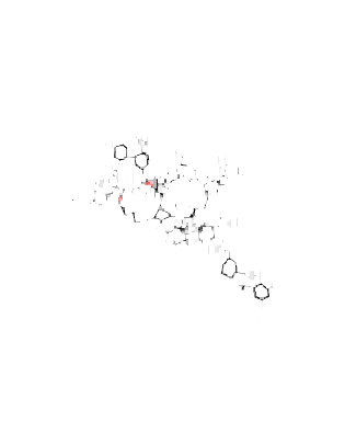 CN[C@H](CC(C)C)C(=O)NC1C(=O)NC(CC(N)=O)C(=O)N[C@H]2C(=O)N[C@H]3C(=O)N[C@H](C(=O)N[C@@H](O)c4cc(O)cc(O)c4-c4cc3ccc4O)[C@H](O[C@H]3C[C@](C)(N)[C@@H](O)[C@H](C)O3)c3ccc(c(Cl)c3)Oc3cc2cc(c3O[C@@H]2O[C@H](CO)[C@@H](O[C@@H]3O[C@H](CNCc4cccc(NC(=O)c5cc(Cl)cc(Cl)c5)c4)[C@H](O)[C@H](O)[C@H]3O)[C@H](O)[C@H]2O)Oc2ccc(cc2Cl)[C@H]1O